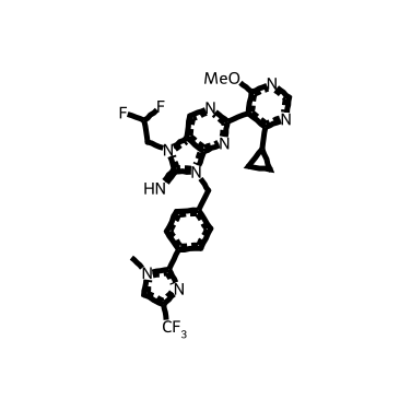 COc1ncnc(C2CC2)c1-c1ncc2c(n1)n(Cc1ccc(-c3nc(C(F)(F)F)cn3C)cc1)c(=N)n2CC(F)F